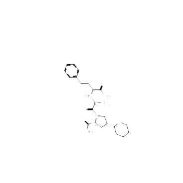 C[C@H](NC(CCc1ccccc1)C(=O)O)C(=O)N1C[C@@H](C2CCCCO2)C[C@H]1C(=O)O